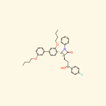 CCCCOc1cccc(-c2ccc([C@H]3[C@H](CC[C@H](O)c4ccc(F)cc4)C(=O)N3c3ccccc3)c(OCCCC)c2)c1